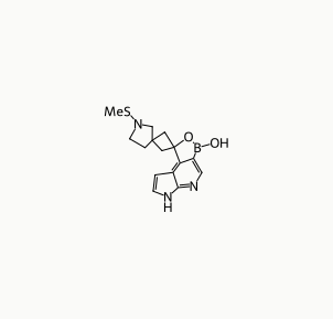 CSN1CCC2(C1)CC1(C2)OB(O)c2cnc3[nH]ccc3c21